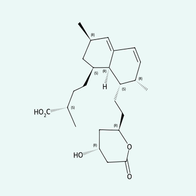 C[C@H]1C=C2C=C[C@H](C)[C@H](CC[C@@H]3C[C@@H](O)CC(=O)O3)[C@H]2[C@@H](CC[C@H](C)C(=O)O)C1